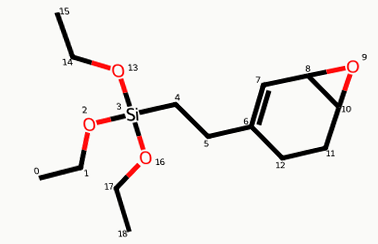 CCO[Si](CCC1=CC2OC2CC1)(OCC)OCC